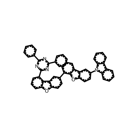 c1ccc(-c2nc(-c3ccccc3)nc(-c3cccc4oc5ccc(-c6cccc7c6oc6ccc(-n8c9ccccc9c9ccccc98)cc67)cc5c34)n2)cc1